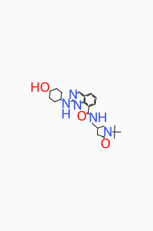 CC(C)(C)N1CC(CNC(=O)c2cccc3cnc(NC4CCC(O)CC4)nc23)CC1=O